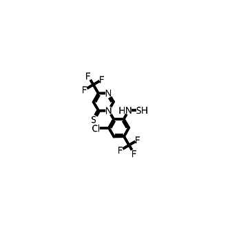 FC(F)(F)c1cc(Cl)c(-n2cnc(C(F)(F)F)cc2=S)c(NS)c1